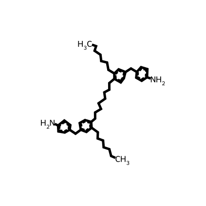 CCCCCCCc1cc(Cc2ccc(N)cc2)ccc1CCCCCCCCc1ccc(Cc2ccc(N)cc2)cc1CCCCCCC